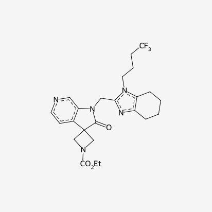 CCOC(=O)N1CC2(C1)C(=O)N(Cc1nc3c(n1CCCC(F)(F)F)CCCC3)c1cnccc12